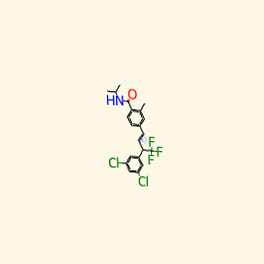 Cc1cc(/C=C/C(c2cc(Cl)cc(Cl)c2)C(F)(F)F)ccc1C(=O)NC(C)C